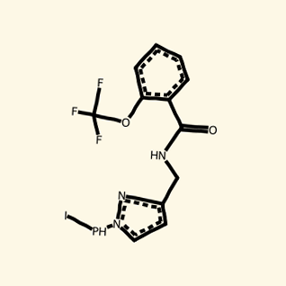 O=C(NCc1ccn(PI)n1)c1ccccc1OC(F)(F)F